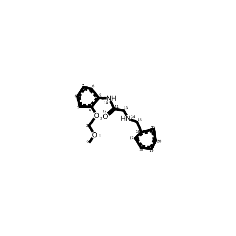 COCOc1ccccc1NC(=O)CNCc1ccccc1